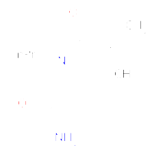 C=C(C)C(=O)N(CCC)CC(N)=O